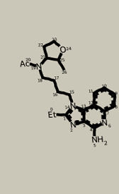 CCc1nc2c(N)nc3ccccc3c2n1CCCCN(C(C)=O)C1CCOC1C